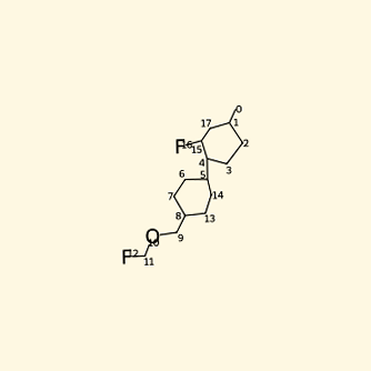 CC1CCC(C2CCC(COCF)CC2)C(F)C1